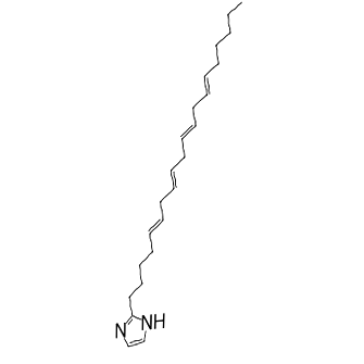 CCCCCC=CCC=CCC=CCC=CCCCCc1ncc[nH]1